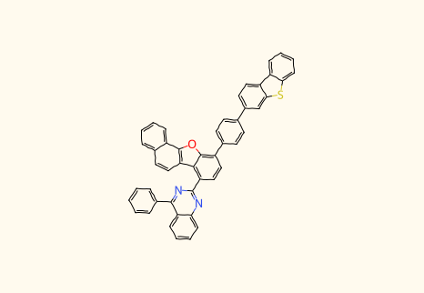 c1ccc(-c2nc(-c3ccc(-c4ccc(-c5ccc6c(c5)sc5ccccc56)cc4)c4oc5c6ccccc6ccc5c34)nc3ccccc23)cc1